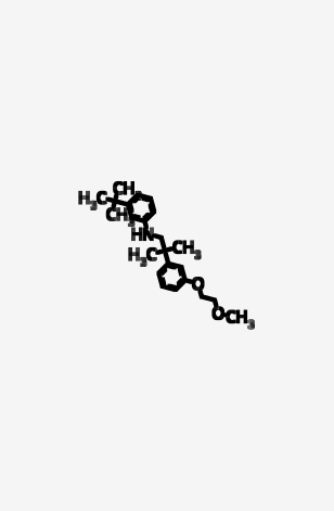 COCCOc1cccc(C(C)(C)CNc2cccc(C(C)(C)C)c2)c1